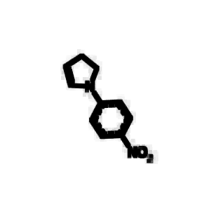 O=[N+]([O-])c1ccc(N2C=CCC2)cc1